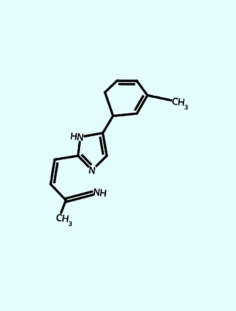 CC(=N)/C=C\c1ncc(C2C=C(C)C=CC2)[nH]1